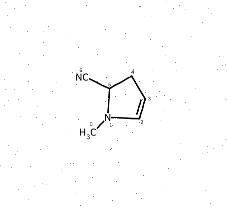 CN1C=CCC1C#N